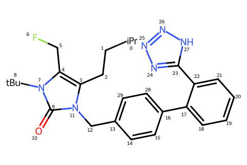 CC(C)CCc1c(CF)n(C(C)(C)C)c(=O)n1Cc1ccc(-c2ccccc2-c2nnn[nH]2)cc1